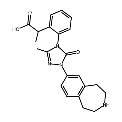 Cc1nn(-c2ccc3c(c2)CCNCC3)c(=O)n1-c1ccccc1C(C)C(=O)O